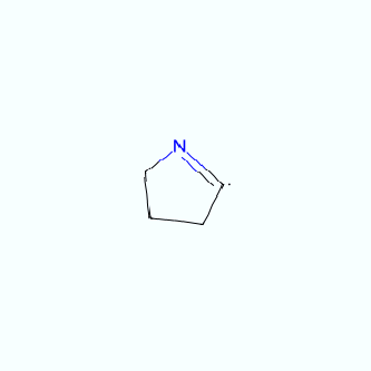 [C]1=NCCC1